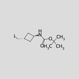 CC(C)(C)OC(=O)N[C@H]1C[C@H](CI)C1